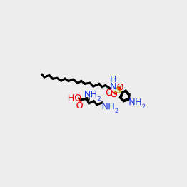 CCCCCCCCCCCCCCCCCC(=O)NS(=O)(=O)c1ccc(N)cc1.NCCCC[C@H](N)C(=O)O